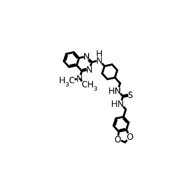 CN(C)c1nc(NC2CCC(CNC(=S)NCc3ccc4c(c3)OCO4)CC2)nc2ccccc12